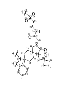 CN(C)C1(c2ccccc2)CCC2(CC1)CN(CC(=O)NCCS(C)(=O)=O)C(=O)N2CC1(O)CCC1